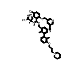 Cc1c(COC(N[C@@](C)(CO)C(=O)O)c2cc(Cl)ccc2OCc2cncc(C#N)c2)cccc1-c1cccc(OCCCN2CCCCC2)c1C